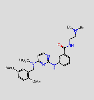 CCN(CC)CCNC(=O)c1cccc(Nc2nccc(N(Cc3cc(OC)ccc3OC)C(=O)O)n2)c1